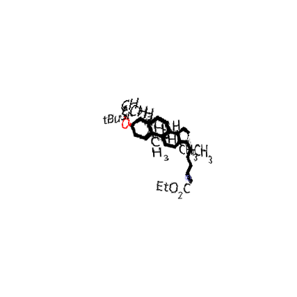 CCOC(=O)/C=C/CC[C@@H](C)[C@H]1CC[C@H]2[C@@H]3CC[C@@H]4CC(O[Si](C)(C)C(C)(C)C)CC[C@]4(C)[C@H]3CC[C@]12C